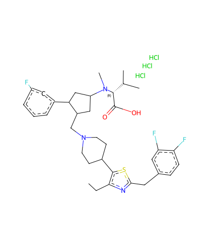 CCc1nc(Cc2ccc(F)c(F)c2)sc1C1CCN(CC2CC(N(C)[C@@H](C(=O)O)C(C)C)CC2c2cccc(F)c2)CC1.Cl.Cl.Cl